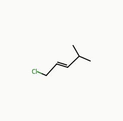 CC(C)/C=C/CCl